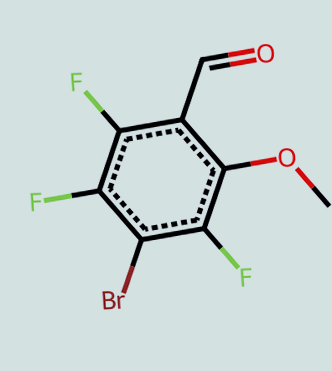 COc1c(F)c(Br)c(F)c(F)c1C=O